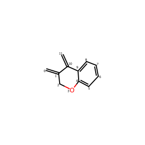 C=C1COc2ccccc2C1=C